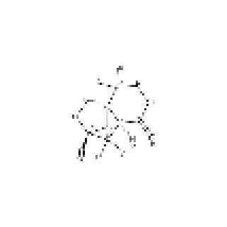 CC1(C)[C@@H]2CC[C@@]3(C2)[C@H]1C(=O)CCC3(C)C